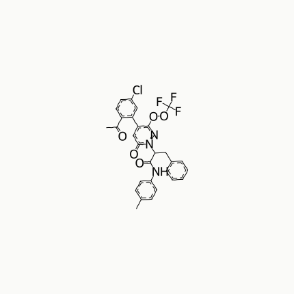 CC(=O)c1ccc(Cl)cc1-c1cc(=O)n(C(Cc2ccccc2)C(=O)Nc2ccc(C)cc2)nc1OOC(F)(F)F